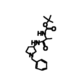 CC(NC(=O)OC(C)(C)C)C(=O)NC1CCN(Cc2ccccc2)C1